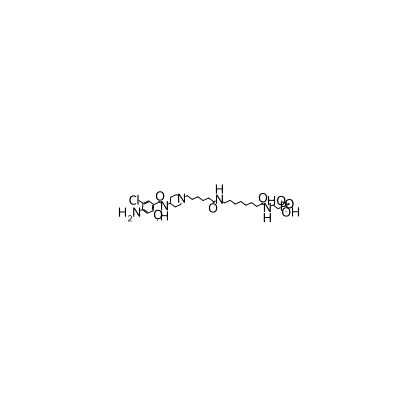 COc1cc(N)c(Cl)cc1C(=O)NC1CCN(CCCCCC(=O)NCCCCCCCC(=O)NCCP(=O)(O)O)CC1